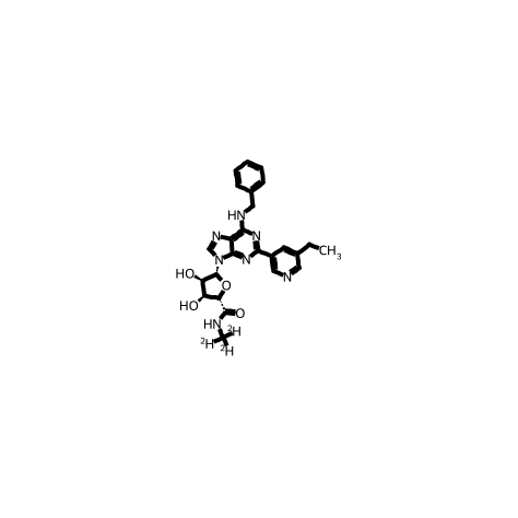 [2H]C([2H])([2H])NC(=O)[C@H]1O[C@@H](n2cnc3c(NCc4ccccc4)nc(-c4cncc(CC)c4)nc32)[C@H](O)[C@@H]1O